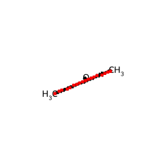 CCCCCCCCCCCCCCCCCCCCCC(C=O)CCCCCCCCCCCCCCCCCC